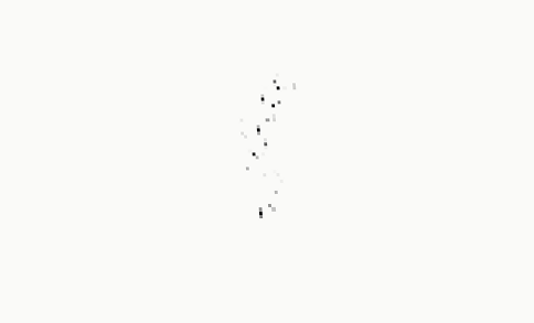 C=CC(=O)N1CCC(Oc2cc3c(Nc4ccc5cn[nH]c5c4)ncnc3cc2OC)CC1